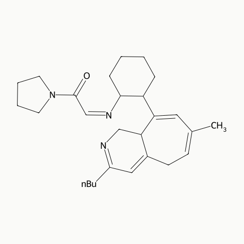 CCCCC1=NCC2C(=C1)CC=C(C)C=C2C1CCCCC1/N=C\C(=O)N1CCCC1